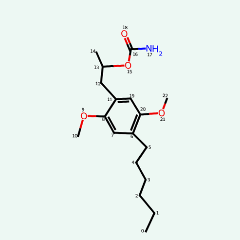 CCCCCCc1cc(OC)c(CC(C)OC(N)=O)cc1OC